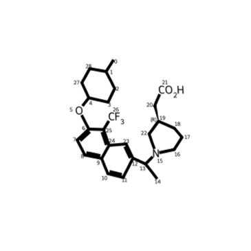 CC1CCC(Oc2ccc3ccc(C(C)N4CCC[C@H](CC(=O)O)C4)cc3c2C(F)(F)F)CC1